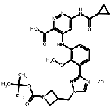 COc1c(Nc2cc(NC(=O)C3CC3)nnc2C(=O)O)cccc1-c1ncn(CC2CN(C(=O)OC(C)(C)C)C2)n1.[Zn]